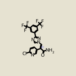 NC(=O)/C(=C/n1cnc(-c2cc(C(F)(F)F)cc(C(F)(F)F)c2)n1)c1ccc(Cl)nc1